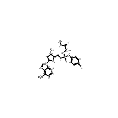 CC(C)OC(=O)[C@H](C)NP(=O)(OCC1O[C@@H](n2cnc3c(N)ncnc32)C[C@H]1O)Oc1ccc(F)cc1